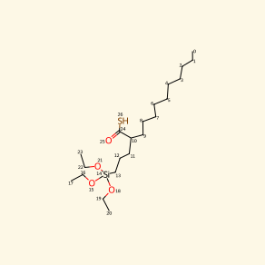 CCCCCCCCCCC(CCC[Si](OCC)(OCC)OCC)C(=O)S